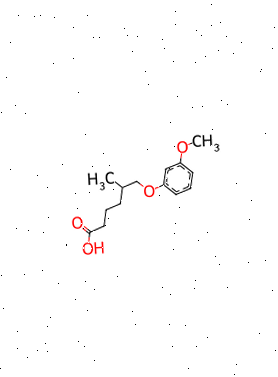 COc1cccc(OCC(C)CCCC(=O)O)c1